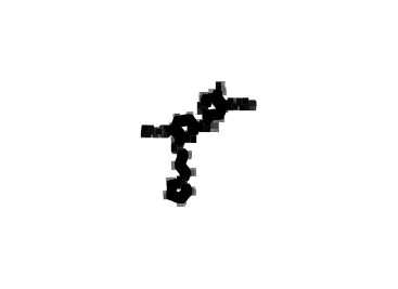 CNc1cc(Nc2ccc(OC)c(OCCCN3CCCC3)n2)ncc1F